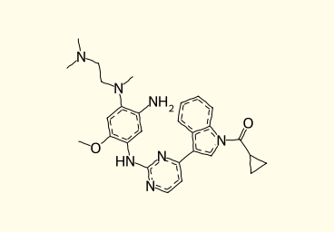 COc1cc(N(C)CCN(C)C)c(N)cc1Nc1nccc(-c2cn(C(=O)C3CC3)c3ccccc23)n1